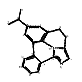 CC(C)c1cc2c3c(c1)c1ccccc1c1ncc(n13)CC2